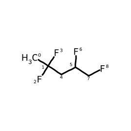 CC(F)(F)CC(F)CF